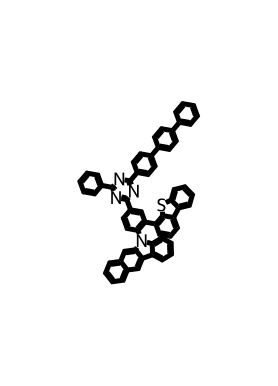 c1ccc(-c2ccc(-c3ccc(-c4nc(-c5ccccc5)nc(-c5ccc(-n6c7ccccc7c7cc8ccccc8cc76)c(-c6cccc7c6sc6ccccc67)c5)n4)cc3)cc2)cc1